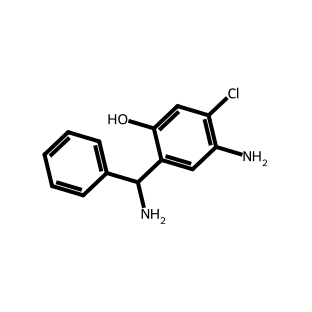 Nc1cc(C(N)c2ccccc2)c(O)cc1Cl